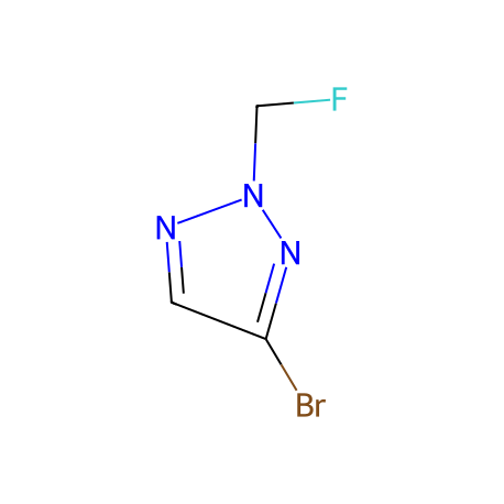 FCn1ncc(Br)n1